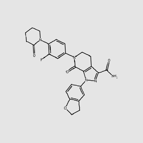 NC(=O)c1nn(-c2ccc3c(c2)CCO3)c2c1CCN(c1ccc(N3CCCCC3=O)c(F)c1)C2=O